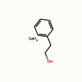 OCCc1ccccc1.[GeH4]